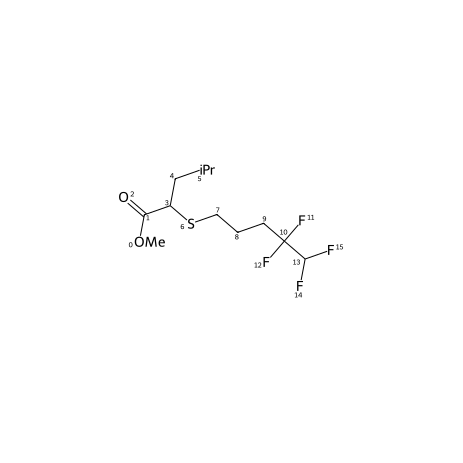 COC(=O)C(CC(C)C)SCCCC(F)(F)C(F)F